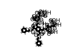 O=C(OCc1ccccc1)C(=O)c1cc(C(=O)C(=O)OCc2ccccc2)c(C(=O)NC(CS(=O)(=O)O)C(=O)N[C@H](CS(=O)(=O)O)C(=O)O)cc1C(=O)NC(CS(=O)(=O)O)C(=O)N[C@H](CS(=O)(=O)O)C(=O)O